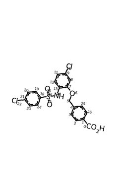 O=C(O)c1ccc(COc2cc(Cl)ccc2NS(=O)(=O)c2ccc(Cl)cc2)cc1